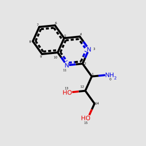 NC(c1ncc2ccccc2n1)C(O)CO